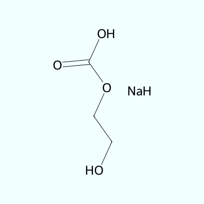 O=C(O)OCCO.[NaH]